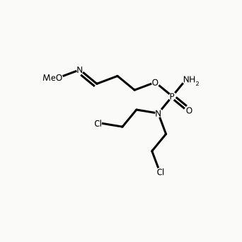 CON=CCCOP(N)(=O)N(CCCl)CCCl